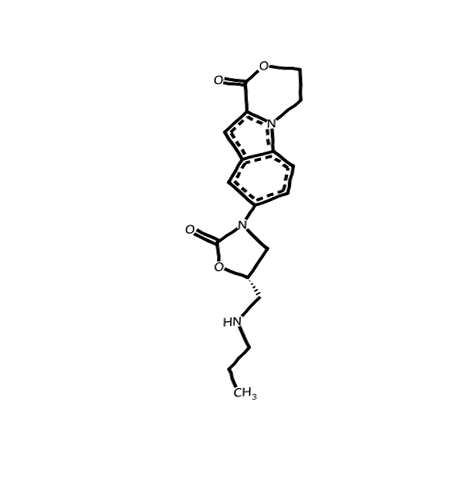 CCCNC[C@H]1CN(c2ccc3c(c2)cc2n3CCOC2=O)C(=O)O1